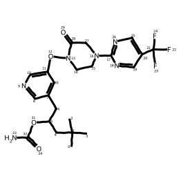 CC(C)(C)CC(Cc1cncc(ON2CCN(c3ncc(C(F)(F)F)cn3)CC2=O)c1)OC(N)=O